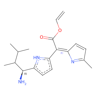 C=COC(=O)/C(=C1\C=CC(C)=N1)c1ccc([C@@H](N)C(C)C(C)C)[nH]1